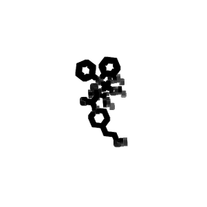 C[C@@H](O[Si](c1ccccc1)(c1ccccc1)C(C)(C)C)C(=O)N1CCC(CCO)CC1